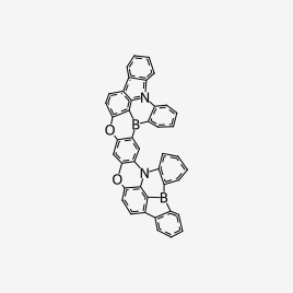 c1ccc2c(c1)B1c3ccccc3N3c4cc5c(cc4Oc4ccc-2c1c43)Oc1ccc2c3ccccc3n3c2c1B5c1ccccc1-3